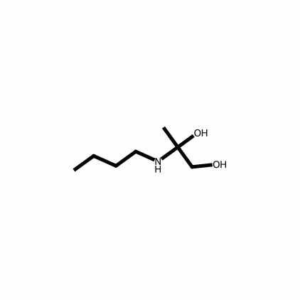 CCCCNC(C)(O)CO